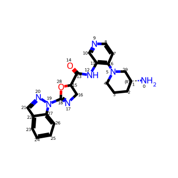 N[C@@H]1CCCN(c2ccncc2NC(=O)C2CN=C(n3ncc4ccccc43)O2)C1